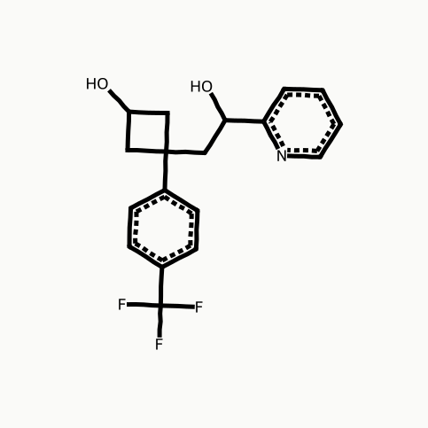 OC1CC(CC(O)c2ccccn2)(c2ccc(C(F)(F)F)cc2)C1